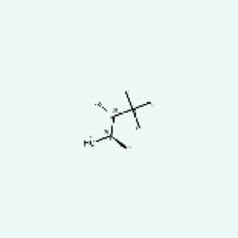 C[C@@H](O)[C@H](C)C(C)(C)C